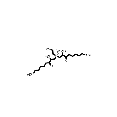 CCCCCCCCCCCCCCCC(=O)C(O)C[N+](C)(CCO)CC(O)C(=O)CCCCCCCCCCCCCCC